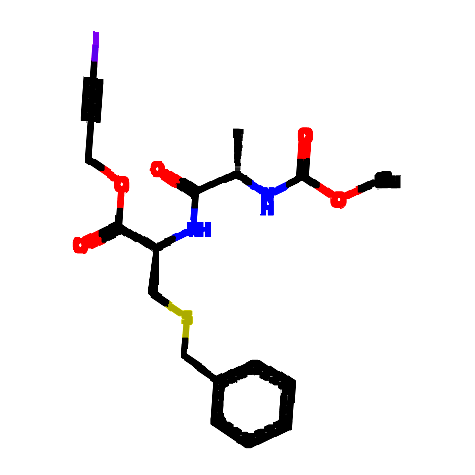 C[C@H](NC(=O)OC(C)(C)C)C(=O)N[C@@H](CSCc1ccccc1)C(=O)OCC#CI